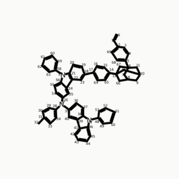 C=Cc1ccc(C23CC4CC(C2)CC(c2ccc(-c5ccc6c(c5)c5cc(N(c7ccc(C)cc7)c7ccc8c(c7)c7ccccc7n8-c7ccccc7)ccc5n6-c5ccccc5)cc2)(C4)C3)cc1